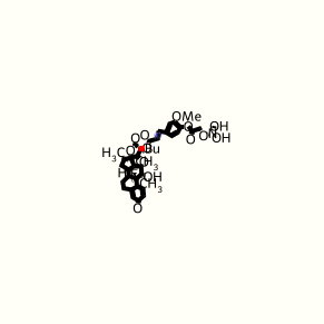 CCCCC(=O)O[C@]1(C(=O)COC(=O)/C=C/c2ccc(OC(=O)CON(O)O)c(OC)c2)[C@@H](C)C[C@H]2C3CCC4=CC(=O)C=C[C@]4(C)[C@@]3(F)[C@@H](O)C[C@@]21C